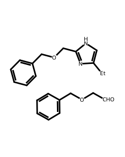 CCc1c[nH]c(COCc2ccccc2)n1.O=CCOCc1ccccc1